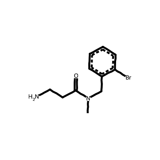 CN(Cc1ccccc1Br)C(=O)CCN